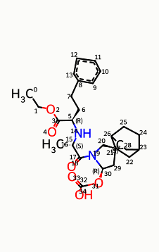 CCOC(=O)[C@@H](CCc1ccccc1)N[C@@H](C)C(=O)N1C[C@@]2(CC3CCC2CC3)C[C@H]1OC(=O)O